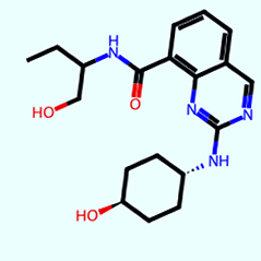 CCC(CO)NC(=O)c1cccc2cnc(N[C@H]3CC[C@H](O)CC3)nc12